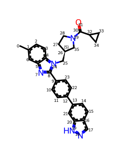 Cc1ccc2c(c1)nc(-c1ccc(-c3ccc4cn[nH]c4c3)cc1)n2C[C@H]1CCN(C(=O)C2CC2)C1